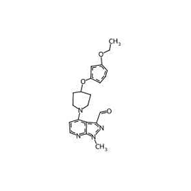 CCOc1cccc(OC2CCN(c3ccnc4c3c(C=O)nn4C)CC2)c1